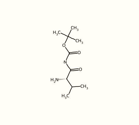 CC(C)[C@H](N)C(=O)[N]C(=O)OC(C)(C)C